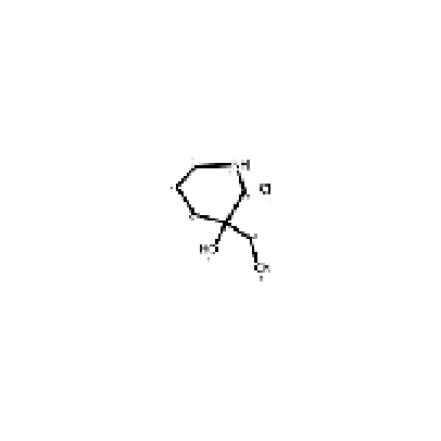 Cl.N#CCC1(O)CCCNC1